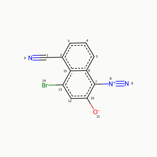 N#Cc1cccc2c([N+]#N)c([O-])cc(Br)c12